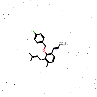 CCOC(=O)/C=C/c1ccc(C)c(CC=C(C)C)c1OCc1ccc(Cl)cc1